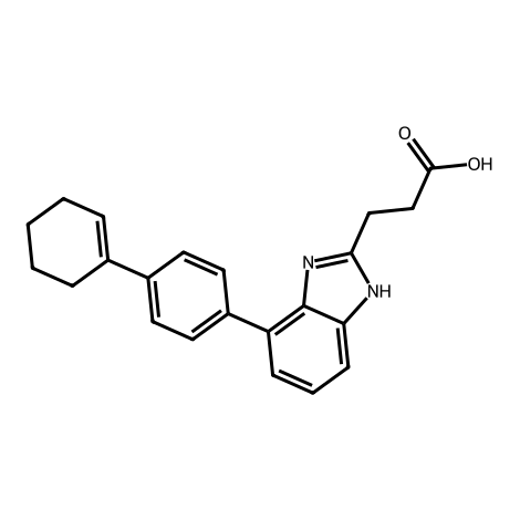 O=C(O)CCc1nc2c(-c3ccc(C4=CCCCC4)cc3)cccc2[nH]1